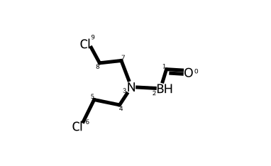 O=CBN(CCCl)CCCl